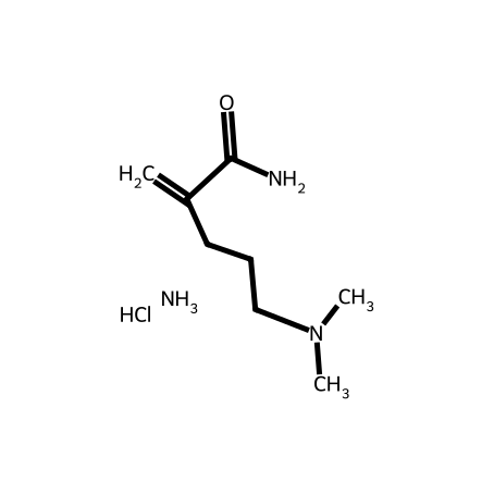 C=C(CCCN(C)C)C(N)=O.Cl.N